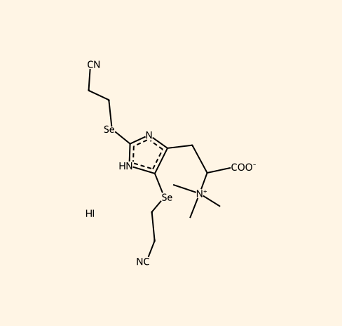 C[N+](C)(C)C(Cc1nc([Se]CCC#N)[nH]c1[Se]CCC#N)C(=O)[O-].I